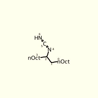 CCCCCCCCCC(CCCCCCCC)N=C=N